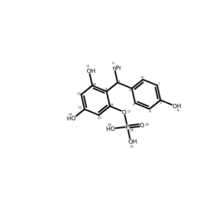 CCCC(c1ccc(O)cc1)c1c(O)cc(O)cc1OP(=O)(O)O